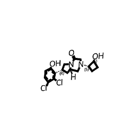 O=C1CN([C@H]2CC[C@@H]2O)C[C@@H]2C[C@H](c3c(O)ccc(Cl)c3Cl)CN12